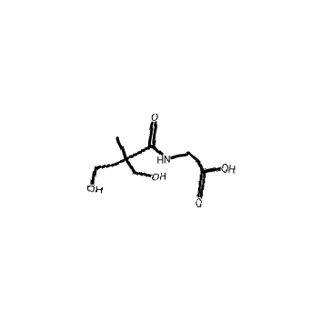 CC(CO)(CO)C(=O)NCC(=O)O